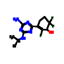 CC[C@@H](Nc1nc(N)nc(C2=C(F)C(O)C(F)(F)CC2)n1)C(F)(F)F